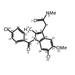 CNC(=O)Cc1c(C)n(C(=O)c2ccc(Cl)cc2)c2cc(Cl)c(OC)cc12